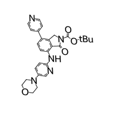 CC(C)(C)OC(=O)N1Cc2c(-c3ccncc3)ccc(Nc3ccc(N4CCOCC4)cn3)c2C1=O